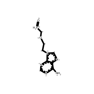 Nc1ncnc2c1ncn2CCOC[PH2]=O